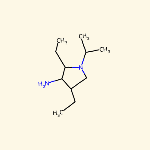 CCC1CN(C(C)C)C(CC)C1N